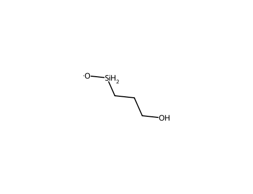 [O][SiH2]CCCO